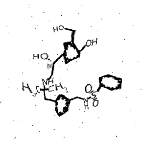 CC(C)(Cc1cccc(CNS(=O)(=O)c2ccccc2)c1)NC[C@H](O)c1ccc(O)c(CO)c1